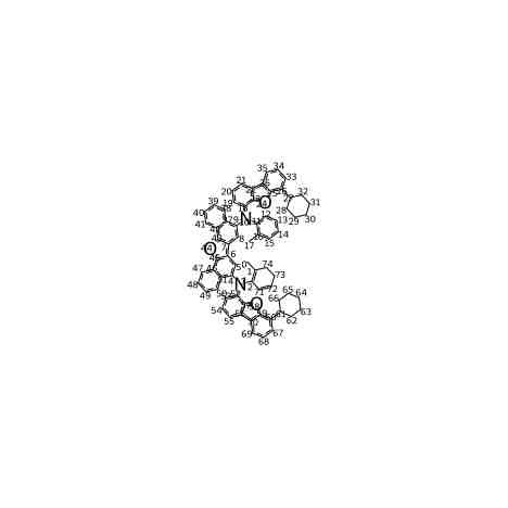 CC1=C(N(c2cc3c4cc(N(c5ccccc5C)c5cccc6c5oc5c(C7CCCCC7)cccc56)c5ccccc5c4oc3c3ccccc23)c2cccc3c2oc2c(C4CCCCC4)cccc23)C=CCC1